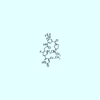 CCOc1cc(=O)[nH]cc1-c1ccc(CC(=O)Nc2cc(C(=O)N3CC[C@H](N(C)C)C3)cc(S(F)(F)(F)(F)F)c2)c(F)c1